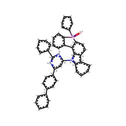 O=P1(c2ccccc2)c2ccccc2-c2c1ccc1c3ccccc3n(-c3cc(-c4ccc(-c5ccccc5)cc4)nc(-c4ccccc4)n3)c21